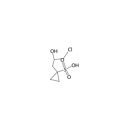 O=S(=O)(O)C1(CC(O)CCl)CC1